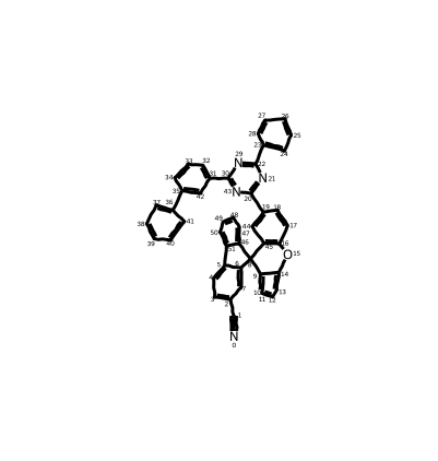 N#Cc1ccc2c(c1)C1(c3ccccc3Oc3ccc(-c4nc(-c5ccccc5)nc(-c5cccc(-c6ccccc6)c5)n4)cc31)c1ccccc1-2